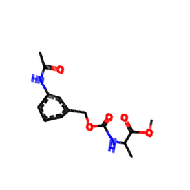 COC(=O)C(C)NC(=O)OCc1cccc(NC(C)=O)c1